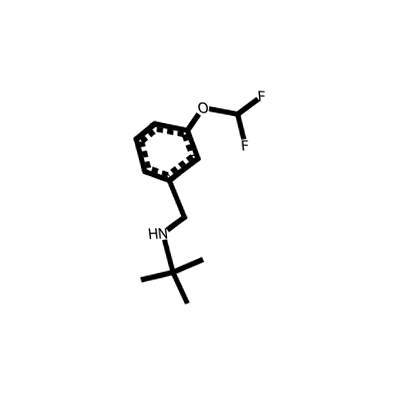 CC(C)(C)NCc1cc[c]c(OC(F)F)c1